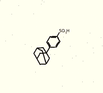 O=S(=O)(O)c1ccc(C23CC4CC(CC(C4)C2)C3)cc1